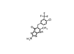 Cc1[nH]c2nc(N)nn2c(=O)c1Cc1ccc(Cl)c(C(F)(F)F)c1